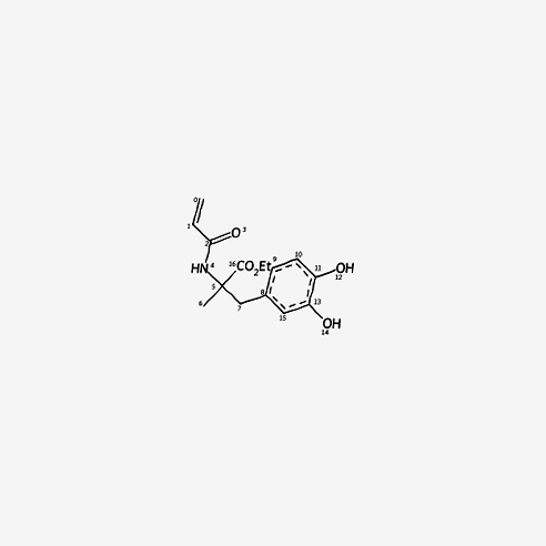 C=CC(=O)NC(C)(Cc1ccc(O)c(O)c1)C(=O)OCC